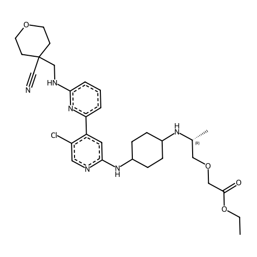 CCOC(=O)COC[C@@H](C)NC1CCC(Nc2cc(-c3cccc(NCC4(C#N)CCOCC4)n3)c(Cl)cn2)CC1